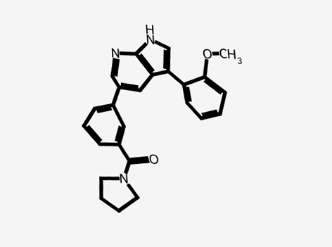 COc1ccccc1-c1c[nH]c2ncc(-c3cccc(C(=O)N4CCCC4)c3)cc12